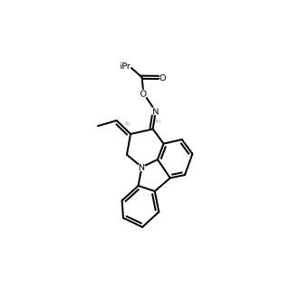 C/C=C1\Cn2c3ccccc3c3cccc(c32)\C1=N\OC(=O)C(C)C